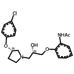 CC(=O)Nc1ccccc1OC[C@@H](O)CN1CC[C@H](Oc2ccc(Cl)cc2)C1